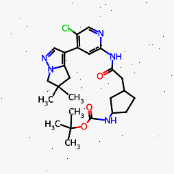 CC1(C)Cc2c(-c3cc(NC(=O)CC4CCC(NC(=O)OC(C)(C)C)C4)ncc3Cl)cnn2C1